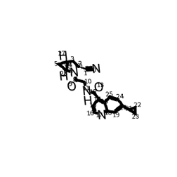 N#C[C@@H]1C[C@@H]2C[C@@H]2N1C(=O)CNC(=O)c1ccnc2cc(C3CC3)ccc12